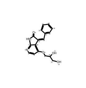 O=C1Nc2nccc(OCC(O)CO)c2C1=Cc1ccccc1